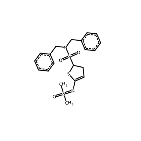 CS(C)(=O)=NC1=CCC(S(=O)(=O)N(Cc2ccccc2)Cc2ccccc2)S1